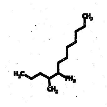 CCCCCCCC(P)C(C)CCC